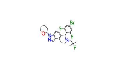 CC(C)(F)CN1CCc2c(ccc3c2cnn3C2CCCCO2)C1c1c(F)cc(Br)cc1F